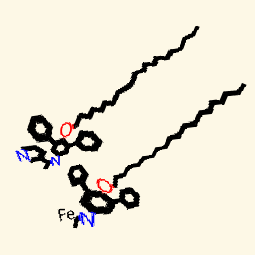 CCCCCCCCCCCCCCCCCCCCOc1c(-c2ccccc2)cc(N=C(C)c2cccnc2)cc1-c1ccccc1.CCCCCCCCCCCCCCCCCCCCOc1c(-c2ccccc2)cc(N=[C](C)[Fe])cc1-c1ccccc1